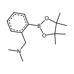 CN(C)Cc1ccccc1B1OC(C)(C)C(C)(C)O1